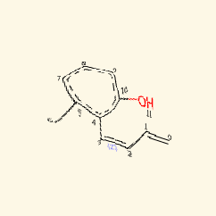 C=C/C=C\c1c(C)cccc1O